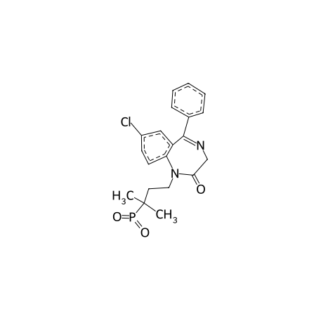 CC(C)(CCN1C(=O)CN=C(c2ccccc2)c2cc(Cl)ccc21)P(=O)=O